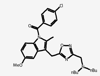 CCCCN(CCCC)Cc1noc(Cc2c(C)n(C(=O)c3ccc(Cl)cc3)c3ccc(OC)cc23)n1